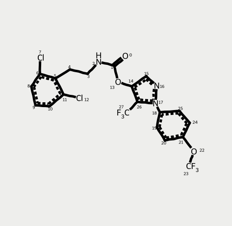 O=C(NCCc1c(Cl)cccc1Cl)Oc1cnn(-c2ccc(OC(F)(F)F)cc2)c1C(F)(F)F